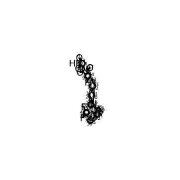 O=C1CCC(N2C(=O)c3cc(F)c(CN4CCC(N5CCN(c6cccc(-c7cnn8ccc(N9CCC[C@@H]9c9ccc(F)cc9F)nc78)n6)CC5)CC4)cc3C2=O)C(=O)N1